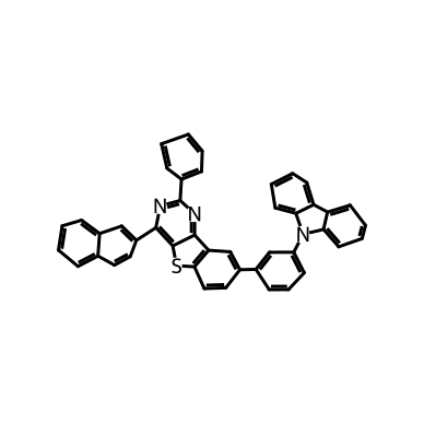 c1ccc(-c2nc(-c3ccc4ccccc4c3)c3sc4ccc(-c5cccc(-n6c7ccccc7c7ccccc76)c5)cc4c3n2)cc1